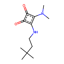 CN(C)c1c(NCCC(C)(C)C)c(=O)c1=O